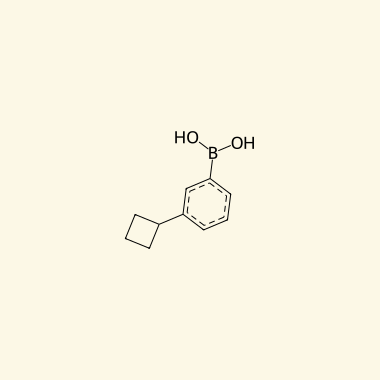 OB(O)c1cccc(C2CCC2)c1